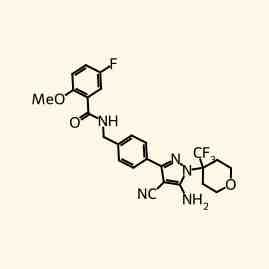 COc1ccc(F)cc1C(=O)NCc1ccc(-c2nn(C3(C(F)(F)F)CCOCC3)c(N)c2C#N)cc1